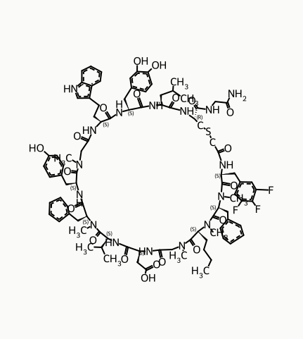 CCCC[C@H]1C(=O)N(C)CC(=O)N[C@@H](CC(=O)O)C(=O)N[C@@H](C(C)C)C(=O)N(C)[C@@H](Cc2ccccc2)C(=O)N[C@@H](Cc2ccc(O)cc2)C(=O)N(C)CC(=O)N[C@@H](CCc2c[nH]c3ccccc23)C(=O)N[C@@H](Cc2ccc(O)c(O)c2)C(=O)N[C@@H](CC(C)C)C(=O)N[C@H](C(=O)NCC(N)=O)CSCC(=O)N[C@@H](Cc2cc(F)c(F)c(F)c2)C(=O)N(C)[C@@H](Cc2ccccc2)C(=O)N1C